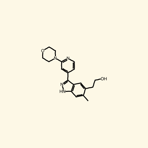 Cc1cc2[nH]nc(-c3ccnc(N4CCOCC4)c3)c2cc1CCO